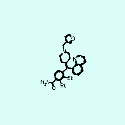 CCc1c(C(N)=O)ccc(C(=C2CCN(Cc3ccoc3)CC2)c2cccc3cccnc23)c1CC